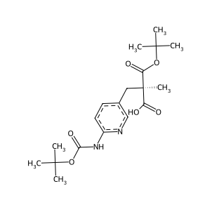 CC(C)(C)OC(=O)Nc1ccc(C[C@](C)(C(=O)O)C(=O)OC(C)(C)C)cn1